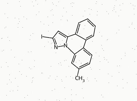 Cc1ccc2c3ccccc3c3cc(I)nn3c2c1